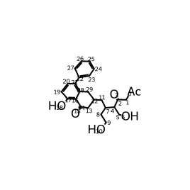 CC(=O)CC(=O)C(CO)C(CCO)CC1CC(=O)c2c(O)ccc(-c3ccccc3)c2C1